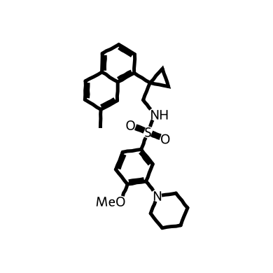 COc1ccc(S(=O)(=O)NCC2(c3cccc4ccc(C)cc34)CC2)cc1N1CCCCC1